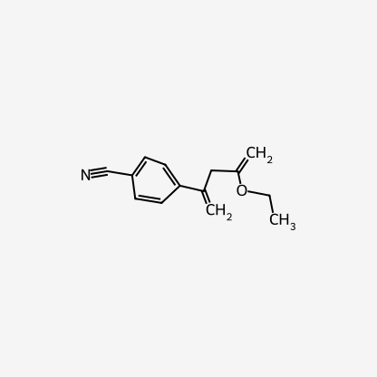 C=C(CC(=C)c1ccc(C#N)cc1)OCC